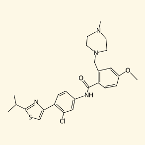 COc1ccc(C(=O)Nc2ccc(-c3csc(C(C)C)n3)c(Cl)c2)c(CN2CCN(C)CC2)c1